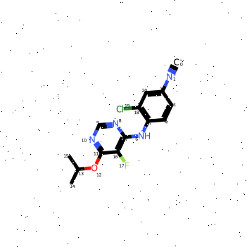 [C-]#[N+]c1ccc(Nc2ncnc(OC(C)C)c2F)c(Cl)c1